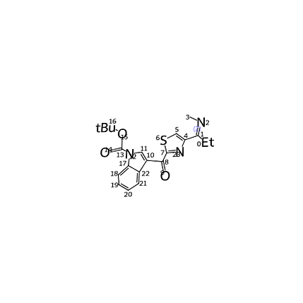 CC/C(=N/C)c1csc(C(=O)c2cn(C(=O)OC(C)(C)C)c3ccccc23)n1